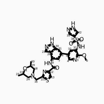 COc1ncc(-c2cc(NC(=O)c3csc(CN4CC(C)OC(C)C4)n3)c3cn[nH]c3c2)cc1NS(=O)(=O)c1cn[nH]c1